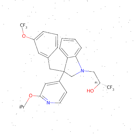 CC(C)Oc1cc(C2(Cc3cccc(OC(F)(F)F)c3)CN(C[C@@H](O)C(F)(F)F)c3ccccc32)ccn1